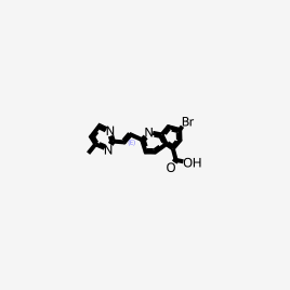 Cc1ccnc(/C=C/c2ccc3c(C(=O)O)cc(Br)cc3n2)n1